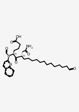 NC(=O)C[C@H](CCCCCCCCCCCCC=O)C(=O)[C@H](CCCC(=O)O)N(C=O)c1ccc2ccccc2n1